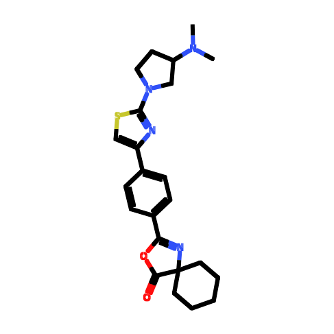 CN(C)C1CCN(c2nc(-c3ccc(C4=NC5(CCCCC5)C(=O)O4)cc3)cs2)C1